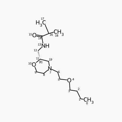 CCCCOCCN1CCO[C@H](CNC(=O)C(C)C)C1